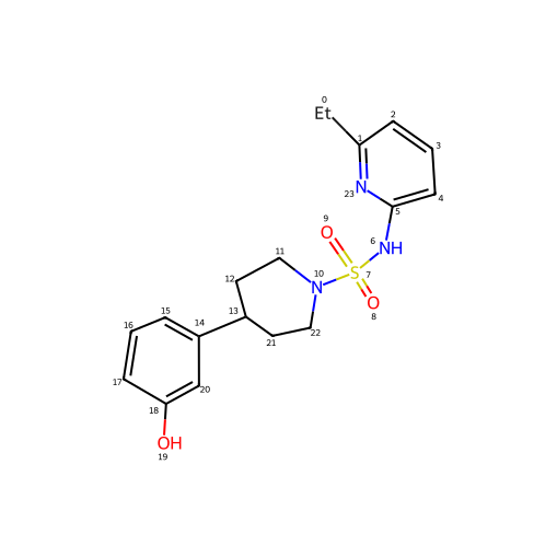 CCc1cccc(NS(=O)(=O)N2CCC(c3cccc(O)c3)CC2)n1